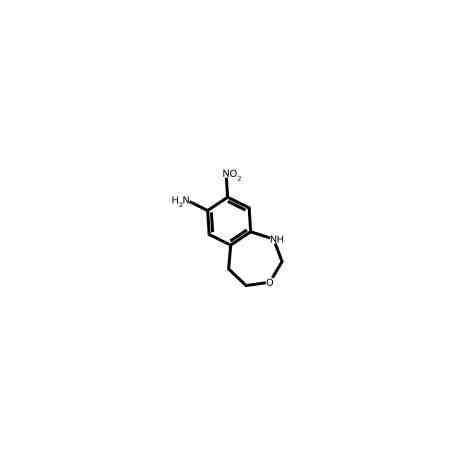 Nc1cc2c(cc1[N+](=O)[O-])NCOCC2